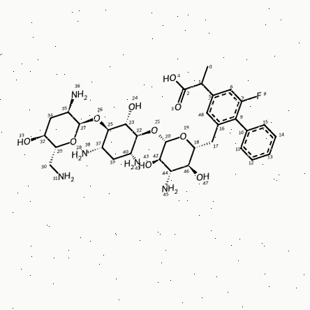 CC(C(=O)O)c1cc(F)c(-c2ccccc2)c(C[C@H]2O[C@@H](O[C@@H]3[C@@H](O)[C@H](O[C@H]4O[C@H](CN)[C@@H](O)C[C@H]4N)[C@@H](N)C[C@H]3N)[C@H](O)[C@@H](N)[C@@H]2O)c1